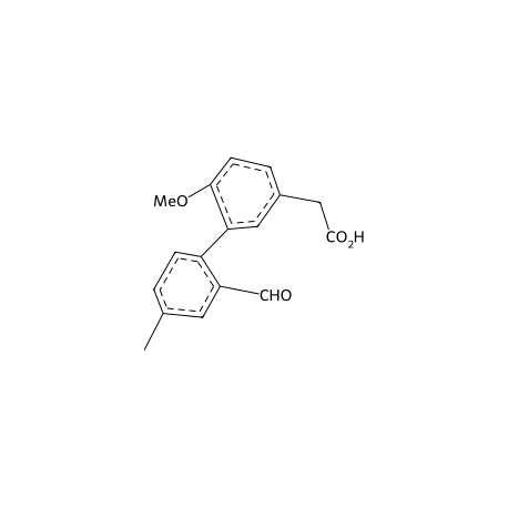 COc1ccc(CC(=O)O)cc1-c1ccc(C)cc1C=O